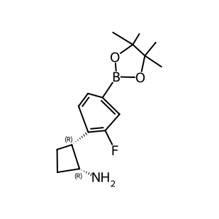 CC1(C)OB(c2ccc([C@H]3CC[C@H]3N)c(F)c2)OC1(C)C